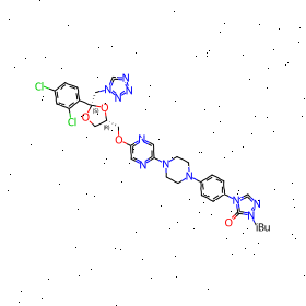 CCC(C)n1ncn(-c2ccc(N3CCN(c4cnc(OC[C@@H]5CO[C@@](Cn6cnnn6)(c6ccc(Cl)cc6Cl)O5)cn4)CC3)cc2)c1=O